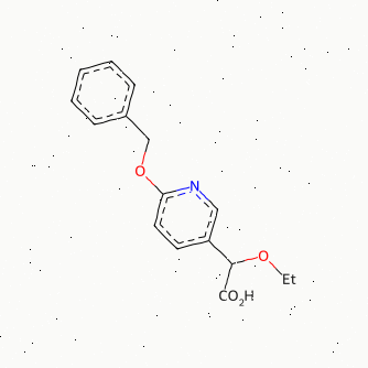 CCOC(C(=O)O)c1ccc(OCc2ccccc2)nc1